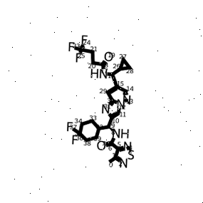 Cc1nsnc1C(=O)N[C@H](c1cn2ncc(C(NC(=O)CCC(F)(F)F)C3CC3)cc2n1)C1CCC(F)(F)CC1